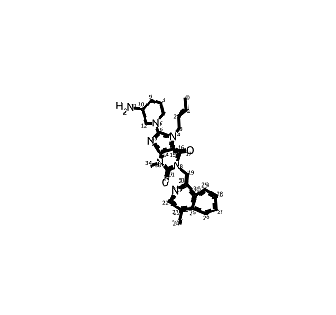 CC=CCn1c(N2CCCC(N)C2)nc2c1c(=O)n(Cc1ncc(C)c3ccccc13)c(=O)n2C